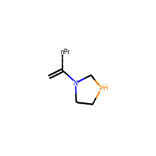 C=C(CCC)N1CCPC1